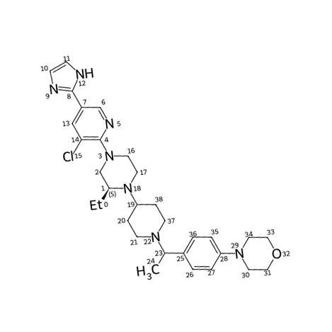 CC[C@H]1CN(c2ncc(-c3ncc[nH]3)cc2Cl)CCN1C1CCN(C(C)c2ccc(N3CCOCC3)cc2)CC1